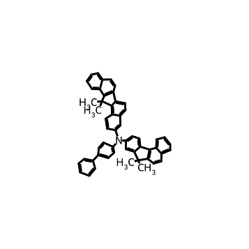 CC1(C)c2cc(N(c3ccc(-c4ccccc4)cc3)c3ccc4c5c(ccc4c3)-c3ccc4ccccc4c3C5(C)C)ccc2-c2c1ccc1ccccc21